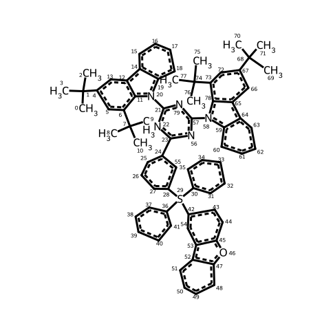 CC(C)(C)c1cc(C(C)(C)C)c2c(c1)c1ccccc1n2-c1nc(-c2cccc(S(c3ccccc3)(c3ccccc3)c3ccc4oc5ccccc5c4c3)c2)nc(-n2c3ccccc3c3cc(C(C)(C)C)cc(C(C)(C)C)c32)n1